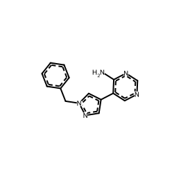 Nc1ncncc1-c1cnn(Cc2ccccc2)c1